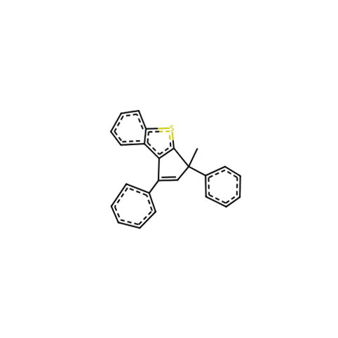 CC1(c2ccccc2)C=C(c2ccccc2)c2c1sc1ccccc21